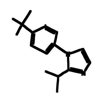 CC(C)c1nccn1-c1c[c]c(C(C)(C)C)cc1